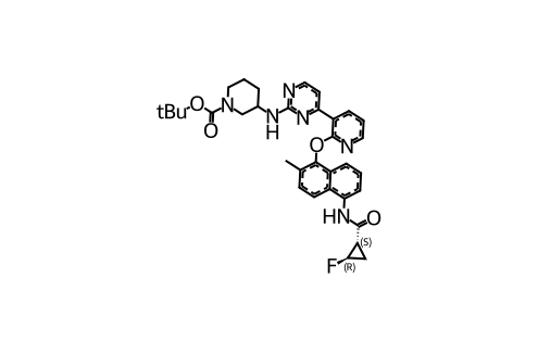 Cc1ccc2c(NC(=O)[C@@H]3C[C@H]3F)cccc2c1Oc1ncccc1-c1ccnc(NC2CCCN(C(=O)OC(C)(C)C)C2)n1